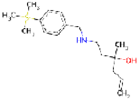 C=CCC(C)(O)CCNCc1ccc(S(C)(C)C)cc1